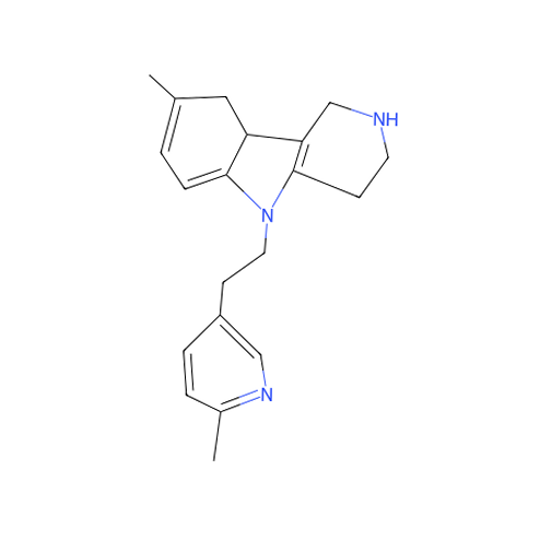 CC1=CC=C2C(C1)C1=C(CCNC1)N2CCc1ccc(C)nc1